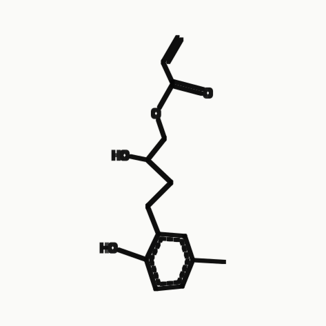 C=CC(=O)OCC(O)CCc1cc(C)ccc1O